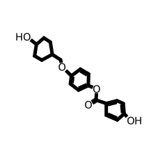 O=C(Oc1ccc(OCC2CCC(O)CC2)cc1)c1ccc(O)cc1